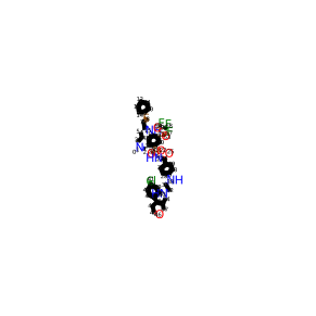 CN(C)CCC[C@H](CSc1ccccc1)Nc1ccc(S(=O)(=O)NC(=O)c2ccc(NCCNCC3=C(c4ccc(Cl)cc4)CCOC3)cc2)cc1S(=O)(=O)C(F)(F)F